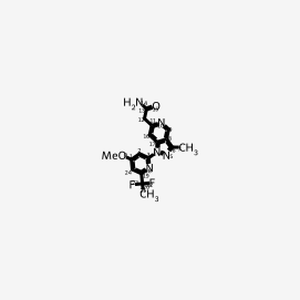 COc1cc(-n2nc(C)c3cnc(CC(N)=O)cc32)nc(C(C)(F)F)c1